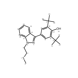 CSCCn1nc(-c2cc(C(C)(C)C)c(O)c(C(C)(C)C)c2)c2cccnc21